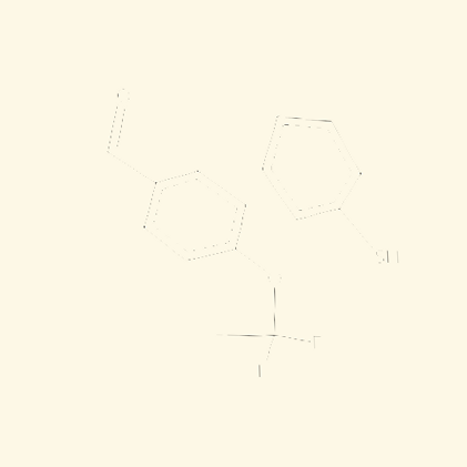 O=Cc1ccc(OC(F)(F)F)cc1.Sc1ccccc1